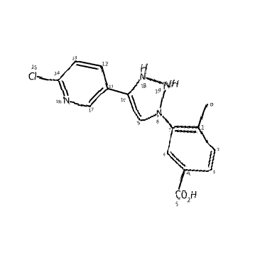 Cc1ccc(C(=O)O)cc1N1C=C(c2ccc(Cl)nc2)NN1